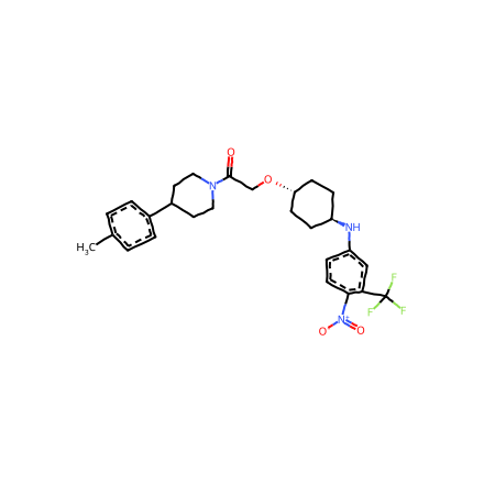 Cc1ccc(C2CCN(C(=O)CO[C@H]3CC[C@H](Nc4ccc([N+](=O)[O-])c(C(F)(F)F)c4)CC3)CC2)cc1